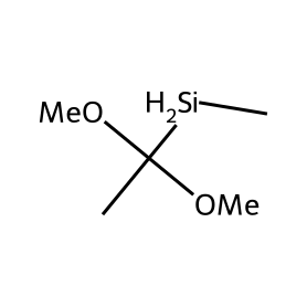 COC(C)(OC)[SiH2]C